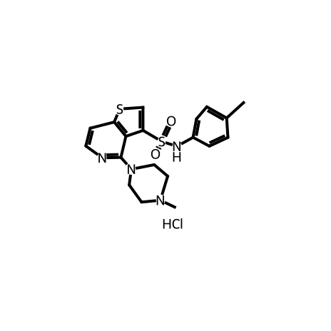 Cc1ccc(NS(=O)(=O)c2csc3ccnc(N4CCN(C)CC4)c23)cc1.Cl